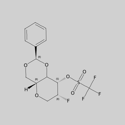 O=S(=O)(O[C@H]1C2O[C@H](c3ccccc3)OC[C@H]2OC[C@H]1F)C(F)(F)F